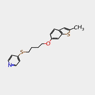 Cc1cc2ccc(OCCCCSc3ccncc3)cc2s1